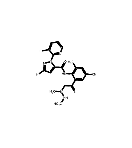 Cc1cc(C#N)cc(C(=O)CN(C)NC(=O)O)c1NC(=O)c1cc(Br)nn1-c1ncccc1Cl